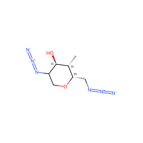 C[C@@H]1[C@H](CN=[N+]=[N-])OCC(N=[N+]=[N-])[C@H]1O